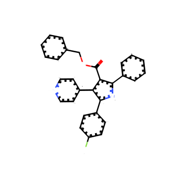 O=C(OCc1ccccc1)c1c(-c2ccccc2)[nH]c(-c2ccc(F)cc2)c1-c1ccncc1